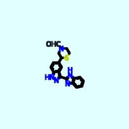 O=CN1CCSC(c2ccc3[nH]nc(-c4nc5ccccc5[nH]4)c3c2)C1